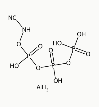 N#CNOP(=O)(O)OP(=O)(O)OP(=O)(O)O.[AlH3]